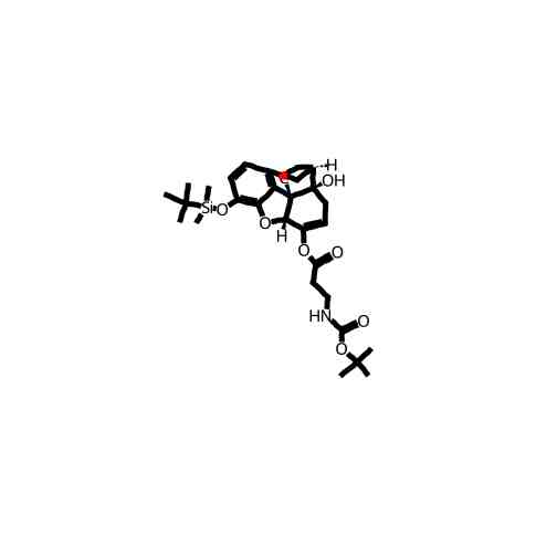 CC(C)(C)OC(=O)NCCC(=O)OC1=CC[C@@]2(O)[C@@H]3CCC[C@@]24c2c(ccc(O[Si](C)(C)C(C)(C)C)c2O[C@@H]14)C3